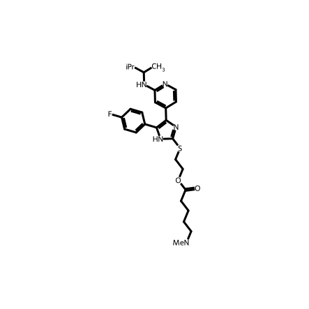 CNCCCCC(=O)OCCSc1nc(-c2ccnc(NC(C)C(C)C)c2)c(-c2ccc(F)cc2)[nH]1